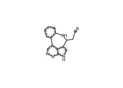 N#CCC1Nc2ccccc2-c2cnnc3[nH]cc1c23